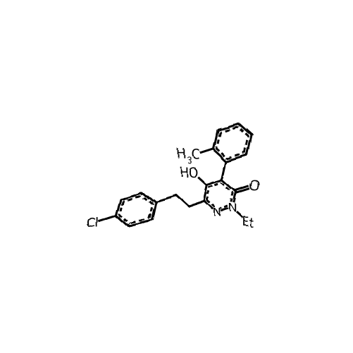 CCn1nc(CCc2ccc(Cl)cc2)c(O)c(-c2ccccc2C)c1=O